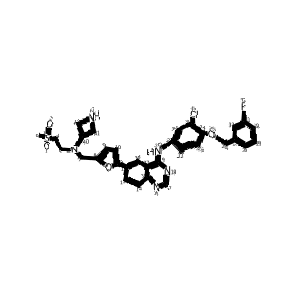 CS(=O)(=O)CCN(Cc1ccc(-c2ccc3ncnc(Nc4ccc(OCc5cccc(F)c5)c(Cl)c4)c3c2)o1)C1CNC1